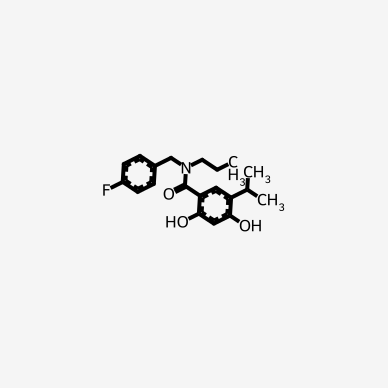 CCCN(Cc1ccc(F)cc1)C(=O)c1cc(C(C)C)c(O)cc1O